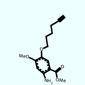 C#CCCCCOc1cc(C(=O)OC)c(N)cc1OC